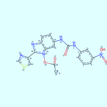 O=C(Nc1cccc([N+](=O)O)c1)Nc1ccc2nc(-c3cscn3)n(OC(=O)C(F)(F)F)c2c1